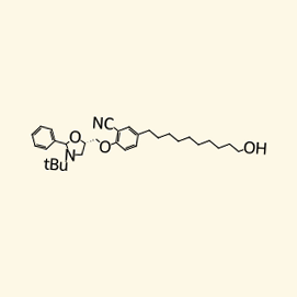 CC(C)(C)N1C[C@@H](COc2ccc(CCCCCCCCCCO)cc2C#N)OC1c1ccccc1